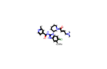 COc1cc2nc(NC(=O)c3ccnc(C)c3)n([C@@H]3CCCCN(C(=O)/C=C/CN(C)C)C3)c2cc1Cl